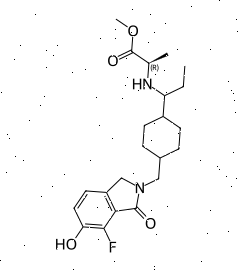 CCC(N[C@H](C)C(=O)OC)C1CCC(CN2Cc3ccc(O)c(F)c3C2=O)CC1